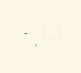 N[C@@H]1c2ccccc2C[C@@H]1F